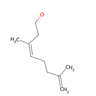 C=C(C)CCC=C(C)CC[O]